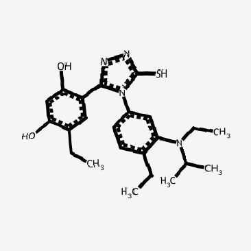 CCc1cc(-c2nnc(S)n2-c2ccc(CC)c(N(CC)C(C)C)c2)c(O)cc1O